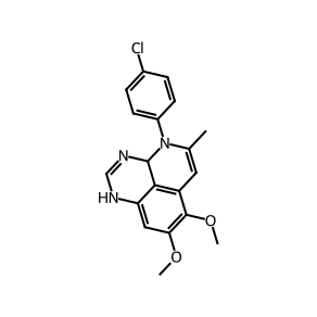 COc1cc2c3c(c1OC)C=C(C)N(c1ccc(Cl)cc1)C3N=CN2